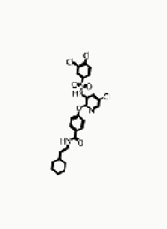 O=C(NCCC1CCCCC1)c1ccc(Oc2ncc(Cl)cc2NS(=O)(=O)c2ccc(Cl)c(Cl)c2)cc1